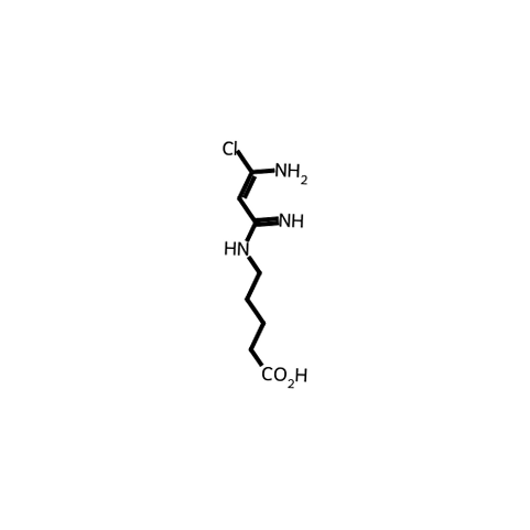 N=C(/C=C(\N)Cl)NCCCCC(=O)O